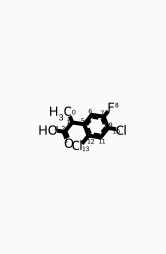 CC(C(=O)O)c1cc(F)c(Cl)cc1Cl